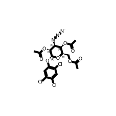 CC(=O)OC[C@H]1O[C@H](Oc2cc(Cl)c(Cl)cc2Cl)[C@H](OC(C)=O)[C@@H](N=[N+]=[N-])[C@H]1OC(C)=O